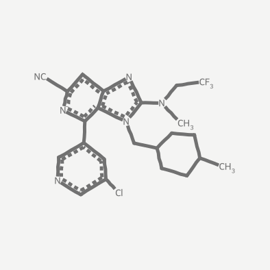 CC1CCC(Cn2c(N(C)CC(F)(F)F)nc3cc(C#N)nc(-c4cncc(Cl)c4)c32)CC1